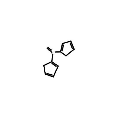 [CH2]=[Hf]([C]1=CC=CC1)[C]1=CC=CC1